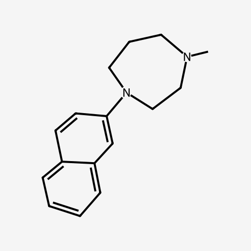 CN1CCCN(c2ccc3ccccc3c2)CC1